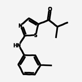 Cc1cccc(Nc2ncc(C(=O)C(C)C)s2)c1